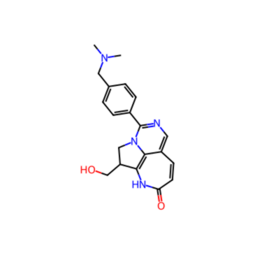 CN(C)Cc1ccc(C2=NC=C3C=CC(=O)NC4=C3N2CC4CO)cc1